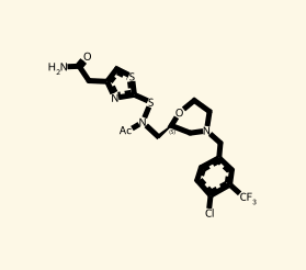 CC(=O)N(C[C@@H]1CN(Cc2ccc(Cl)c(C(F)(F)F)c2)CCO1)Sc1nc(CC(N)=O)cs1